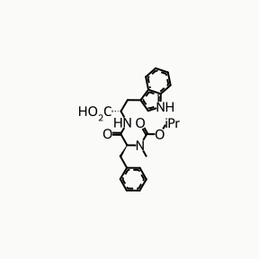 CC(C)OC(=O)N(C)[C@@H](Cc1ccccc1)C(=O)N[C@@H](Cc1c[nH]c2ccccc12)C(=O)O